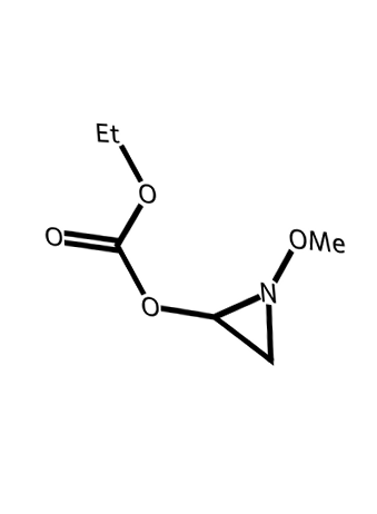 CCOC(=O)OC1CN1OC